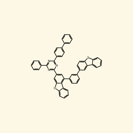 c1ccc(-c2ccc(-c3nc(-c4ccccc4)nc(-c4cc(-c5cccc(-c6ccc7sc8ccccc8c7c6)c5)c5c(c4)oc4ccccc45)n3)cc2)cc1